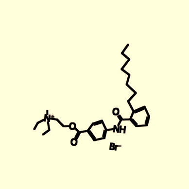 CCCCCCCCc1ccccc1C(=O)Nc1ccc(C(=O)OCC[N+](C)(CC)CC)cc1.[Br-]